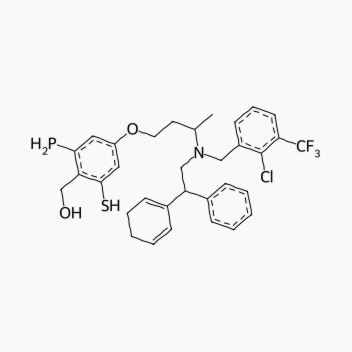 CC(CCOc1cc(P)c(CO)c(S)c1)N(Cc1cccc(C(F)(F)F)c1Cl)CC(C1=CCCC=C1)c1ccccc1